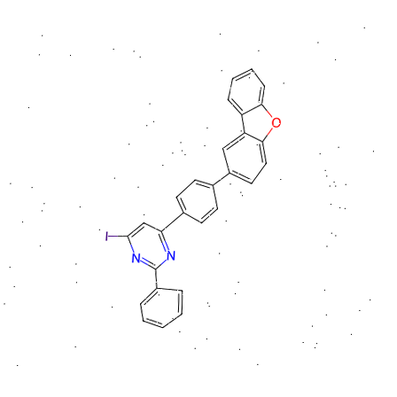 Ic1cc(-c2ccc(-c3ccc4oc5ccccc5c4c3)cc2)nc(-c2ccccc2)n1